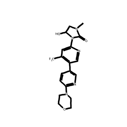 CN1CC(O)N(c2cc(C(F)(F)F)c(-c3ccc(N4CCOCC4)nc3)cn2)C1=O